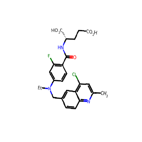 CCN(Cc1ccc2nc(C)cc(Cl)c2c1)c1ccc(C(=O)N[C@@H](CCC(=O)O)C(=O)O)c(F)c1